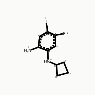 Nc1cc(I)c(F)cc1NC1CCC1